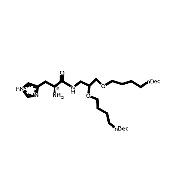 CCCCCCCCCCCCCCOCC(CNC(=O)[C@@H](N)Cc1c[nH]cn1)OCCCCCCCCCCCCCC